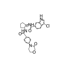 O=C(NC1CCC[C@H]1NC(=O)c1ccc2c(Cl)c[nH]c2c1)c1ccc(N2CCOCC2=O)cc1